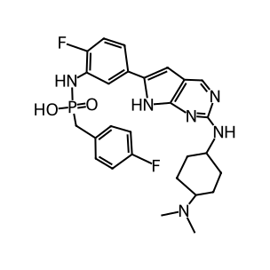 CN(C)C1CCC(Nc2ncc3cc(-c4ccc(F)c(NP(=O)(O)Cc5ccc(F)cc5)c4)[nH]c3n2)CC1